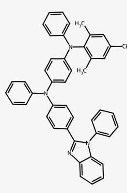 Cc1cc(C)c(N(c2ccccc2)c2ccc(N(c3ccccc3)c3ccc(-c4nc5ccccc5n4-c4ccccc4)cc3)cc2)c(C)c1